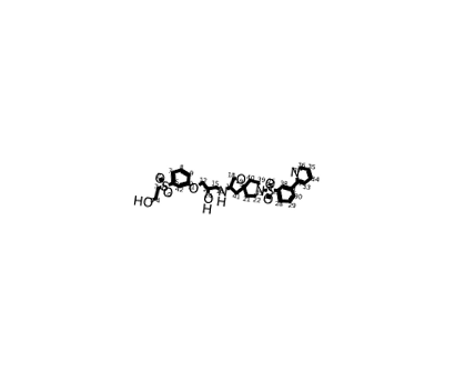 O=S(=O)(CCO)c1cccc(OCC(O)CNC2COC3(CCN(S(=O)(=O)c4cccc(-c5ccccn5)c4)CC3)C2)c1